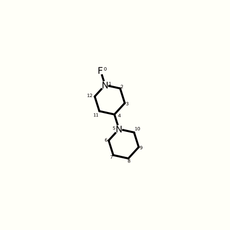 FN1CCC(N2CCCCC2)CC1